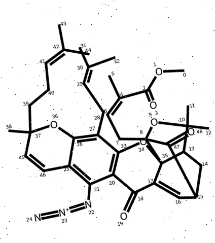 COC(=O)/C(C)=C\CC12OC(C)(C)C3CC(C=C4C(=O)c5c(N=[N+]=[N-])c6c(c(CC=C(C)C)c5OC431)OC(C)(CCC=C(C)C)C=C6)C2=O